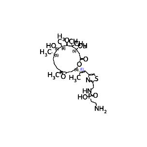 C/C(=C\c1csc(CNP(=O)(O)CCN)n1)[C@@H]1CC2O[C@]2(C)CCC[C@H](C)[C@H](O)[C@@H](C)C(=O)C(C)(C)[C@@H](O)CC(=O)O1